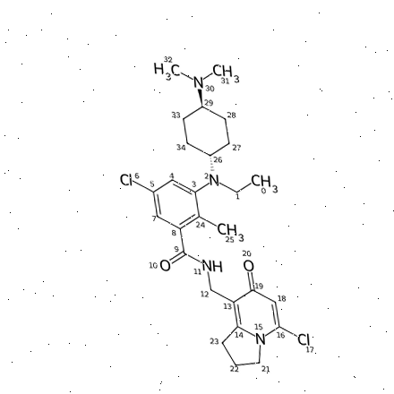 CCN(c1cc(Cl)cc(C(=O)NCc2c3n(c(Cl)cc2=O)CCC3)c1C)[C@H]1CC[C@H](N(C)C)CC1